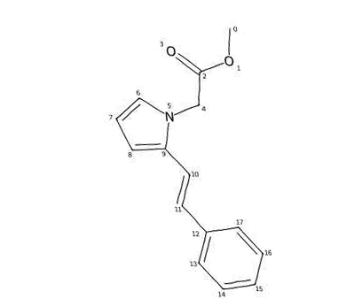 COC(=O)Cn1cccc1C=Cc1ccccc1